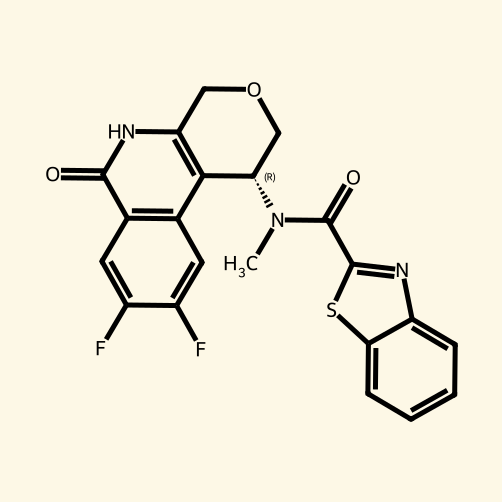 CN(C(=O)c1nc2ccccc2s1)[C@H]1COCc2[nH]c(=O)c3cc(F)c(F)cc3c21